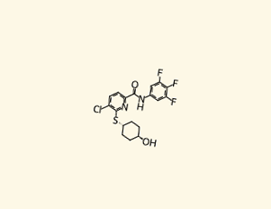 O=C(Nc1cc(F)c(F)c(F)c1)c1ccc(Cl)c(S[C@H]2CC[C@H](O)CC2)n1